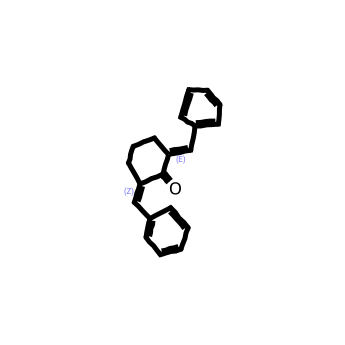 O=C1/C(=C\c2ccccc2)CCC/C1=C\c1ccccc1